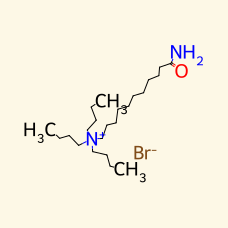 CCCC[N+](CCCC)(CCCC)CCCCCCCCCCC(N)=O.[Br-]